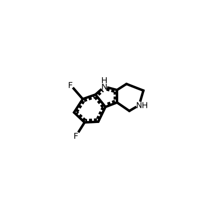 Fc1cc(F)c2[nH]c3c(c2c1)CNCC3